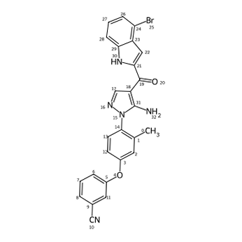 Cc1cc(Oc2cccc(C#N)c2)ccc1-n1ncc(C(=O)c2cc3c(Br)cccc3[nH]2)c1N